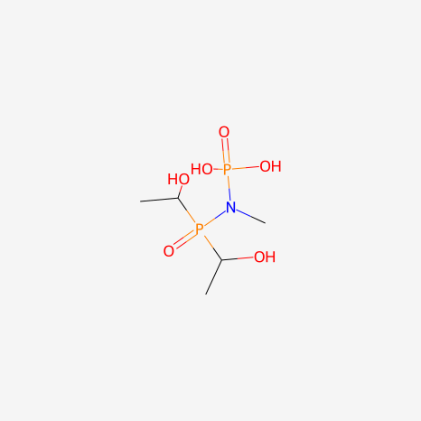 CC(O)P(=O)(C(C)O)N(C)P(=O)(O)O